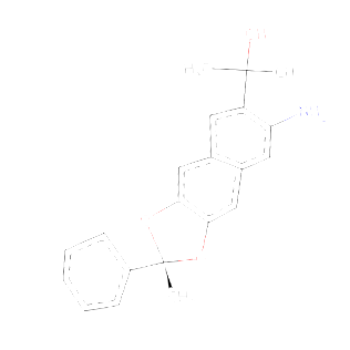 CC(C)(O)c1cc2cc3c(cc2cc1N)O[C@](C)(c1ccccc1)O3